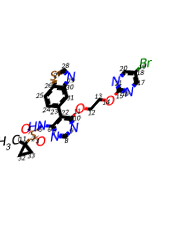 CC1(S(=O)(=O)Nc2ncnc(OCCOc3ncc(Br)cn3)c2-c2ccc3scnc3c2)CC1